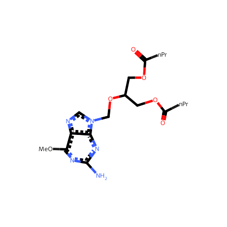 CCCC(=O)OCC(COC(=O)CCC)OCn1cnc2c(OC)nc(N)nc21